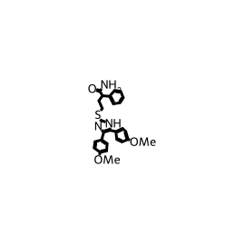 COc1ccc(-c2nc(SCCC(C(N)=O)c3ccccc3)[nH]c2-c2ccc(OC)cc2)cc1